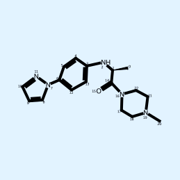 [CH2][C@H](Nc1ccc(-n2cccn2)cc1)C(=O)N1CCN(C)CC1